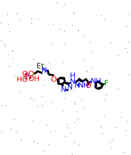 CCN(CCCOc1ccc2c(Nc3cc(CC(=O)Nc4cccc(F)c4)[nH]n3)ncnc2c1)CCCOP(=O)(O)O